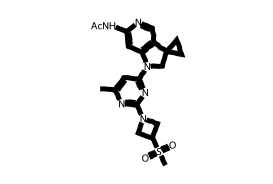 CC(=O)Nc1cc2c(cn1)C1(CC1)CN2c1cc(C)nc(N2CC(S(C)(=O)=O)C2)n1